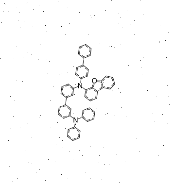 c1ccc(-c2ccc(N(c3cccc(-c4cccc(N(c5ccccc5)c5ccccc5)c4)c3)c3cccc4c3oc3ccccc34)cc2)cc1